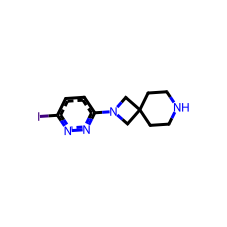 Ic1ccc(N2CC3(CCNCC3)C2)nn1